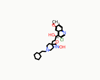 COc1ccc2ncc(Cl)c([C@H](O)CCC3(C(=O)NO)CCN(CCC4CCCCC4)CC3)c2c1